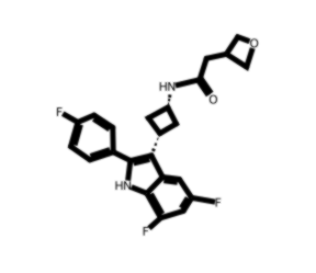 O=C(CC1COC1)N[C@H]1C[C@@H](c2c(-c3ccc(F)cc3)[nH]c3c(F)cc(F)cc32)C1